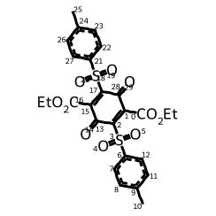 CCOC(=O)C1=C(S(=O)(=O)c2ccc(C)cc2)C(=O)C(C(=O)OCC)=C(S(=O)(=O)c2ccc(C)cc2)C1=O